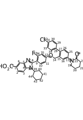 O=C(O)c1ccc2c(c1)nc(-c1ccc(OCc3cc(N4CCCCC4=O)ccc3-c3ccc(Cl)cc3)cc1F)n2C1CCCCC1